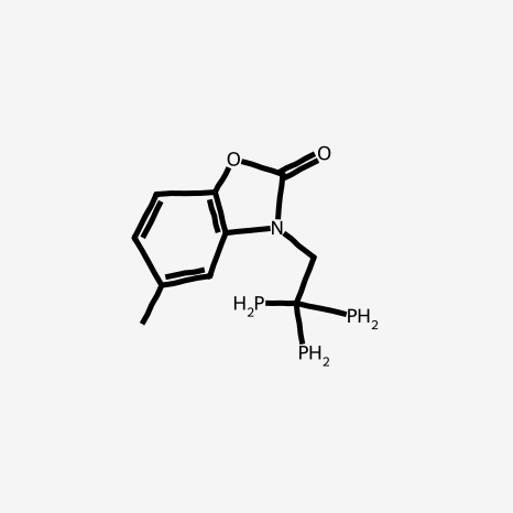 Cc1ccc2oc(=O)n(CC(P)(P)P)c2c1